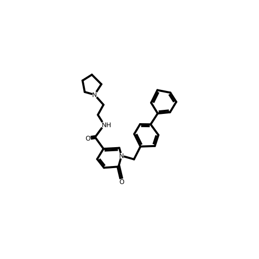 O=C(NCCN1CCCC1)c1ccc(=O)n(Cc2ccc(-c3ccccc3)cc2)c1